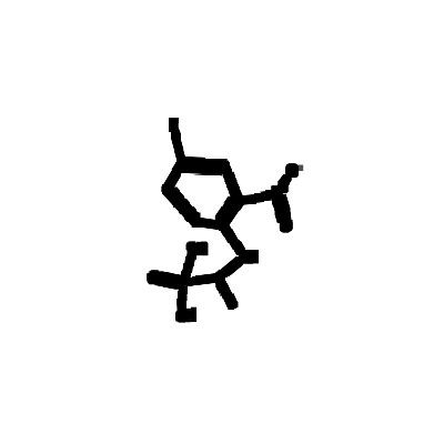 CC(Nc1ccc(F)cc1[N+](=O)[O-])P(=O)(O)O